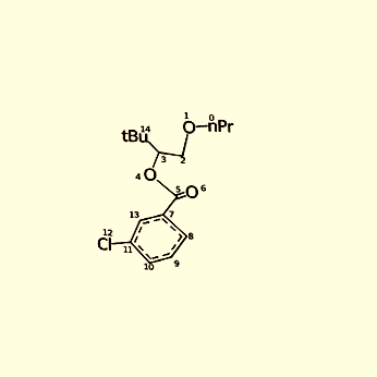 CCCOCC(OC(=O)c1cccc(Cl)c1)C(C)(C)C